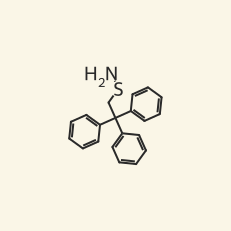 NSCC(c1ccccc1)(c1ccccc1)c1ccccc1